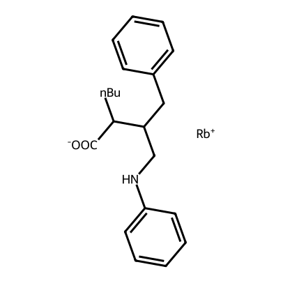 CCCCC(C(=O)[O-])C(CNc1ccccc1)Cc1ccccc1.[Rb+]